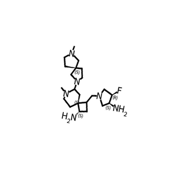 CN1CC[C@]2(CCN(C3C[C@@]4(CCN3C)C(CN3C[C@@H](F)[C@@H](N)C3)C[C@@H]4N)C2)C1